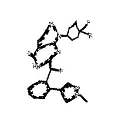 Cn1cc(-c2ccccc2C(F)c2nc3c(cnn3C3CCC(F)(F)CC3)c(=O)[nH]2)cn1